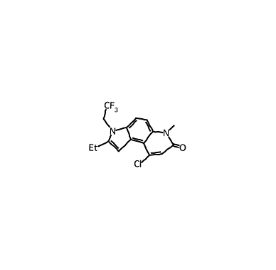 CCc1cc2c3c(Cl)cc(=O)n(C)c3ccc2n1CC(F)(F)F